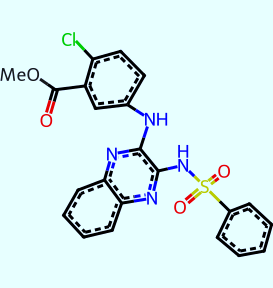 COC(=O)c1cc(Nc2nc3ccccc3nc2NS(=O)(=O)c2ccccc2)ccc1Cl